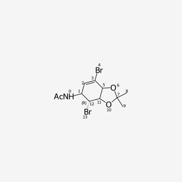 CC(=O)NC1C=C(Br)C2OC(C)(C)OC2[C@@H]1Br